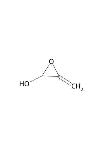 C=C1OC1O